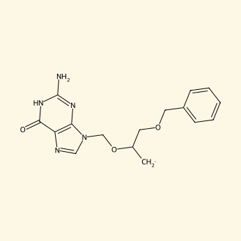 [CH2]C(COCc1ccccc1)OCn1cnc2c(=O)[nH]c(N)nc21